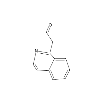 O=CCc1nccc2ccccc12